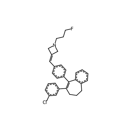 FCCCN1CC(=Cc2ccc(C3=C(c4cccc(Cl)c4)CCCc4ccccc43)cc2)C1